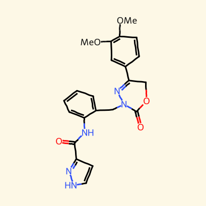 COc1ccc(C2=NN(Cc3ccccc3NC(=O)c3cc[nH]n3)C(=O)OC2)cc1OC